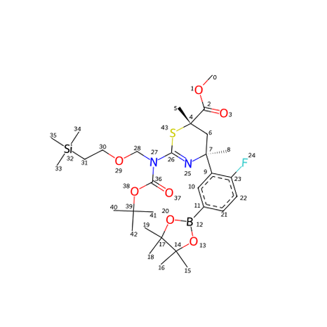 COC(=O)[C@]1(C)C[C@@](C)(c2cc(B3OC(C)(C)C(C)(C)O3)ccc2F)N=C(N(COCC[Si](C)(C)C)C(=O)OC(C)(C)C)S1